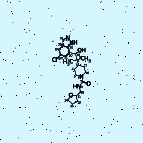 CC(C)(C1CCN(C(=O)NC[C@H]2CCCO2)CC1)[C@H](O)c1cc(Cl)cc2cn[nH]c12